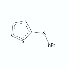 CC[CH]Sc1cccs1